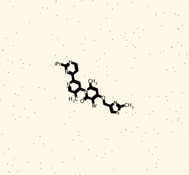 Cc1nc(COc2cc(C)n(-c3cc(-c4ccnc(C(C)C)n4)ncc3C)c(=O)c2Br)cs1